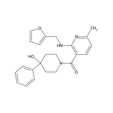 Cc1ccc(C(=O)N2CCC(O)(c3ccccc3)CC2)c(NCc2ccco2)n1